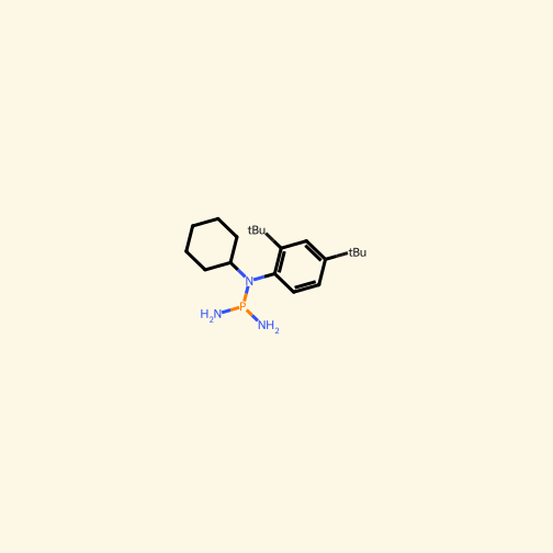 CC(C)(C)c1ccc(N(C2CCCCC2)P(N)N)c(C(C)(C)C)c1